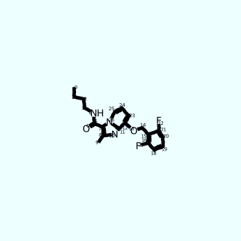 CCCCNC(=O)c1c(C)nc2c(OCc3c(F)cccc3F)cccn12